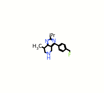 CC(C)c1nc(-c2ccc(CF)cc2)c2c(n1)C(C)CNC2